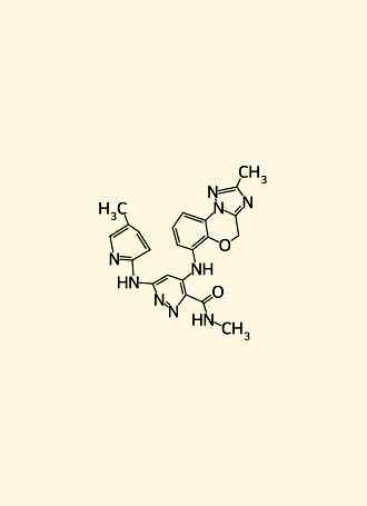 CNC(=O)c1nnc(Nc2ccc(C)cn2)cc1Nc1cccc2c1OCc1nc(C)nn1-2